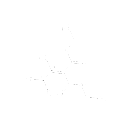 CCOC(=O)C(C(=O)OCC)=C(C)C(F)F